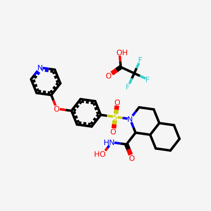 O=C(NO)C1C2CCCCC2CCN1S(=O)(=O)c1ccc(Oc2ccncc2)cc1.O=C(O)C(F)(F)F